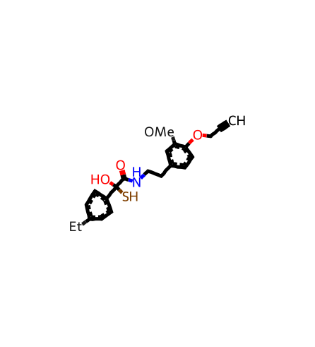 C#CCOc1ccc(CCNC(=O)C(O)(S)c2ccc(CC)cc2)cc1OC